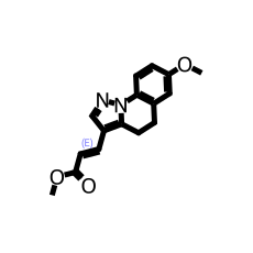 COC(=O)/C=C/c1cnn2c1CCc1cc(OC)ccc1-2